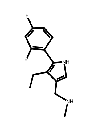 CCc1c(CNC)c[nH]c1-c1ccc(F)cc1F